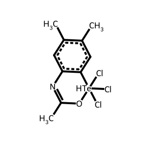 CC1=Nc2cc(C)c(C)cc2[TeH](Cl)(Cl)(Cl)O1